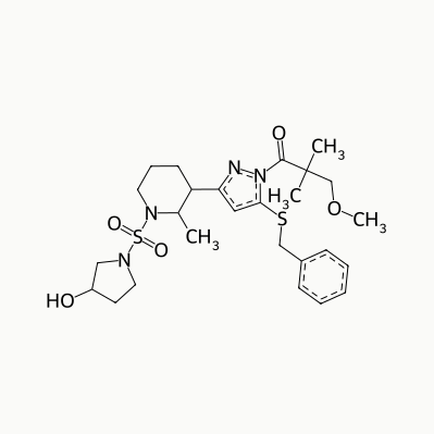 COCC(C)(C)C(=O)n1nc(C2CCCN(S(=O)(=O)N3CCC(O)C3)C2C)cc1SCc1ccccc1